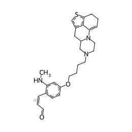 CNc1cc(OCCCCN2CCN3C4=CCCc5scc(c54)CC3C2)ccc1/C=C\C=O